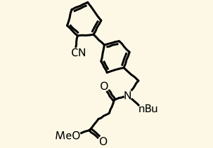 CCCCN(Cc1ccc(-c2ccccc2C#N)cc1)C(=O)CCC(=O)OC